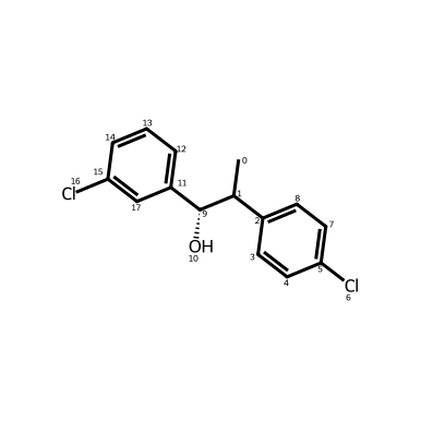 CC(c1ccc(Cl)cc1)[C@H](O)c1cccc(Cl)c1